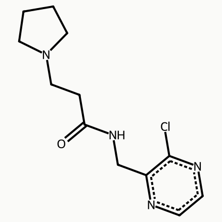 O=C(CCN1CCCC1)NCc1nccnc1Cl